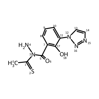 CC(=S)N(N)C(=O)c1cccc(-n2ccnn2)c1O